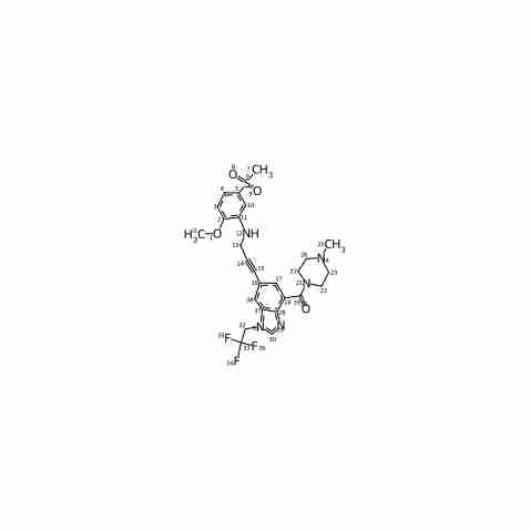 COc1ccc(S(C)(=O)=O)cc1NCC#Cc1cc(C(=O)N2CCN(C)CC2)c2ncn(CC(F)(F)F)c2c1